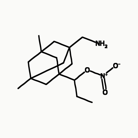 CCC(O[N+](=O)[O-])C12CC3(C)CC(C)(CC(CN)(C3)C1)C2